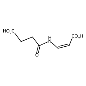 O=C(O)/C=C\NC(=O)CCC(=O)O